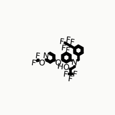 OC(CN(Cc1cccc(C(F)(F)C(F)(F)F)c1)c1cccc(Oc2ccnc(OC(F)F)c2)c1)C(F)(F)F